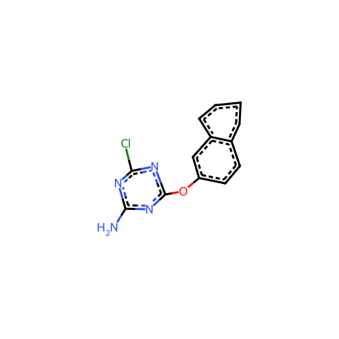 Nc1nc(Cl)nc(Oc2ccc3ccccc3c2)n1